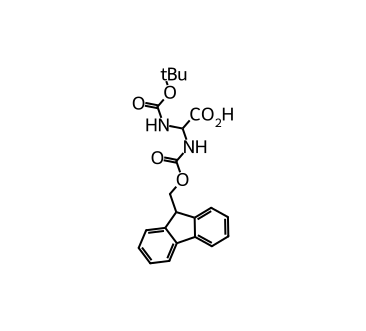 CC(C)(C)OC(=O)NC(NC(=O)OCC1c2ccccc2-c2ccccc21)C(=O)O